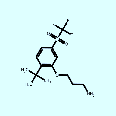 CC(C)(C)c1ccc(S(=O)(=O)C(F)(F)F)cc1OCCCN